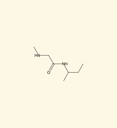 CCC(C)NC(=O)CNC